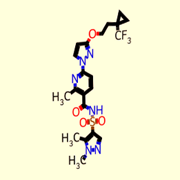 Cc1nc(-n2ccc(OCCC3(C(F)(F)F)CC3)n2)ccc1C(=O)NS(=O)(=O)c1cnn(C)c1C